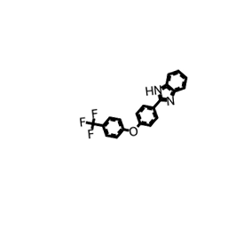 FC(F)(F)c1ccc(Oc2ccc(-c3nc4ccccc4[nH]3)cc2)cc1